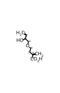 C=CC(O)COCCC(=C)C(=O)O